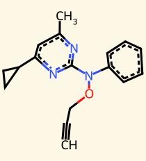 C#CCON(c1ccccc1)c1nc(C)cc(C2CC2)n1